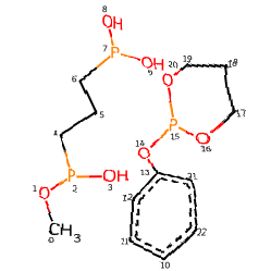 COP(O)CCCP(O)O.c1ccc(OP2OCCCO2)cc1